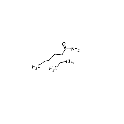 CCC.CCCCCC(N)=O